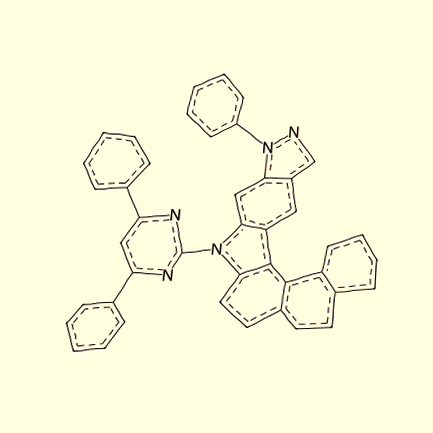 c1ccc(-c2cc(-c3ccccc3)nc(-n3c4cc5c(cnn5-c5ccccc5)cc4c4c5c(ccc6ccccc65)ccc43)n2)cc1